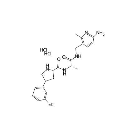 CCc1cccc(C2CNC(C(=O)N[C@@H](C)C(=O)NCc3ccc(N)nc3C)C2)c1.Cl.Cl